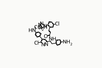 Nc1ccc(CC(NC(=O)C=Cc2cc(Cl)ccc2-n2cnnn2)c2cc(-c3ccc(NC(=O)O)cc3)c(Cl)nn2)cc1